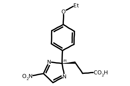 CCOc1ccc([C@]2(CCC(=O)O)N=CC([N+](=O)[O-])=N2)cc1